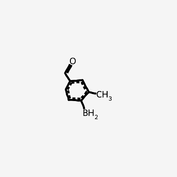 Bc1ccc(C=O)cc1C